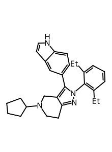 CCc1cccc(CC)c1-n1nc2c(c1-c1ccc3[nH]ccc3c1)CN(C1CCCC1)CC2